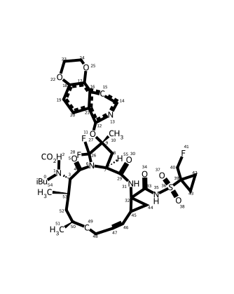 CCC(C)N(C(=O)O)[C@@H]1C(=O)N2[C@@H](C[C@@](C)(Oc3nccc4c5c(ccc34)OCCO5)C2(F)F)C(=O)NC2(C(=O)NS(=O)(=O)C3(CF)CC3)CC2/C=C\CC[C@@H](C)C[C@H]1C